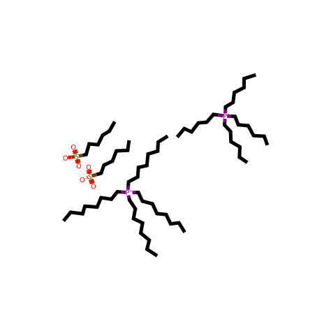 CCCCCCCC[P+](CCCCCCCC)(CCCCCCCC)CCCCCCCC.CCCCCCS(=O)(=O)[O-].CCCCCCS(=O)(=O)[O-].CCCCCC[P+](CCCCCC)(CCCCCC)CCCCCC